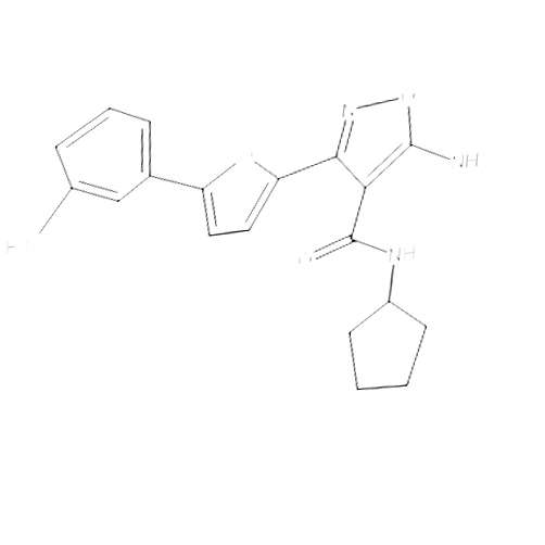 Nc1onc(-c2ccc(-c3cccc(C(F)(F)F)c3)o2)c1C(=O)NC1CCCC1